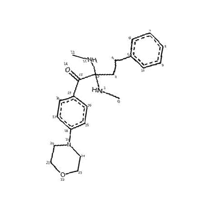 CNC(CCc1ccccc1)(NC)C(=O)c1ccc(N2CCOCC2)cc1